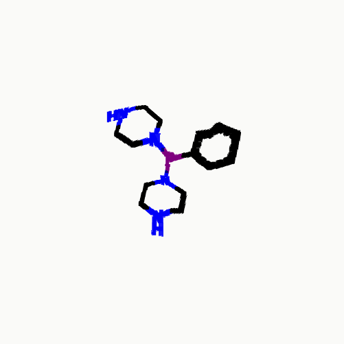 c1ccc(P(N2CCNCC2)N2CCNCC2)cc1